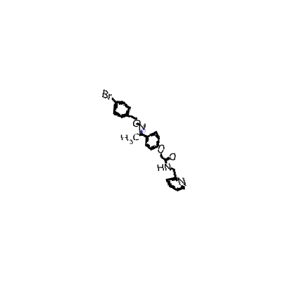 C/C(=N\OCc1ccc(Br)cc1)c1ccc(OCC(=O)NCc2ccccn2)cc1